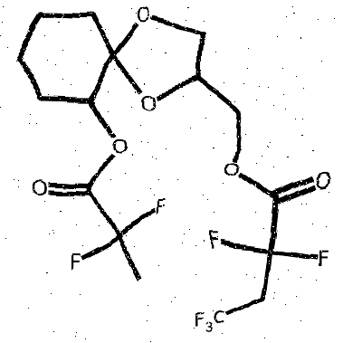 CC(F)(F)C(=O)OC1CCCCC12OCC(COC(=O)C(F)(F)CC(F)(F)F)O2